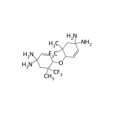 CC1(C(F)(F)F)CC(N)(N)C=CC1OC1C=CC(N)(N)CC1(C)C(F)(F)F